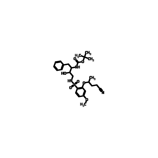 COc1ccc(S(=O)(=O)NCC(O)C(Cc2ccccc2)NC(=O)OC(C)(C)C)c(OC(C)CCC#N)c1